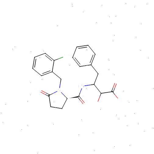 O=C(O)C(O)C(Cc1ccccc1)NC(=O)[C@H]1CCC(=O)N1Cc1ccccc1F